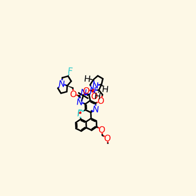 COCOc1cc(-c2nc3c4c(nc(OC[C@@]56CCCN5C[C@@H](F)C6)nc4c2F)N2C[C@@H]4CC[C@H]([C@H]2CO3)N4C(=O)OC(C)(C)C)c2c(F)cccc2c1